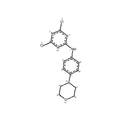 Clc1nc(Cl)nc(Nc2ccc(N3CCOCC3)cc2)n1